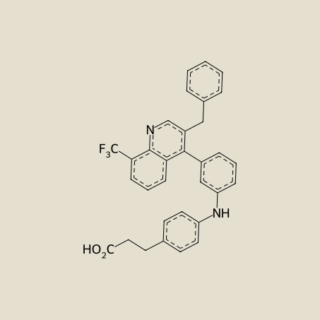 O=C(O)CCc1ccc(Nc2cccc(-c3c(Cc4ccccc4)cnc4c(C(F)(F)F)cccc34)c2)cc1